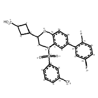 O=C(O)C1CC(C2CN(S(=O)(=O)c3cccc(C(F)(F)F)c3)c3cc(-c4cc(F)ccc4F)ccc3O2)C1